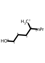 CCCC(C)CCCO